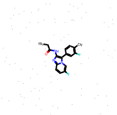 CC(C)(C)CC(=O)Nc1nc2ccc(F)cn2c1-c1ccc(C#N)c(F)c1